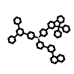 c1ccc(-c2cc(-c3ccccc3)cc(-c3ccc(N(c4ccc(-c5ccc6c(c5)C(c5ccccc5)(c5ccccc5)c5ccccc5-6)cc4)c4cccc(-c5cccc(-c6cccc7ccccc67)c5)c4)cc3)c2)cc1